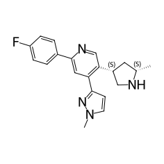 C[C@H]1C[C@@H](c2cnc(-c3ccc(F)cc3)cc2-c2ccn(C)n2)CN1